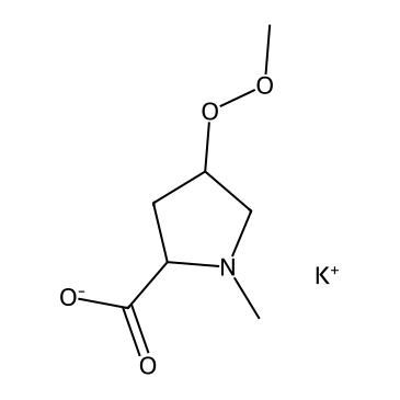 COOC1CC(C(=O)[O-])N(C)C1.[K+]